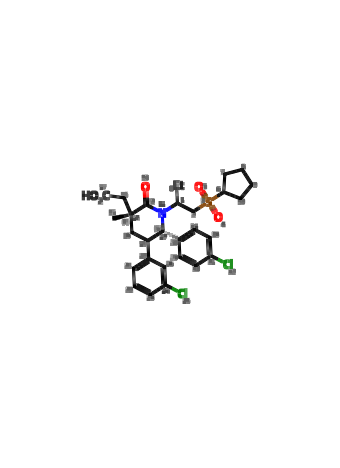 CCC(CS(=O)(=O)C1CCCC1)N1C(=O)[C@@](C)(CC(=O)O)CC(c2cccc(Cl)c2)[C@H]1c1ccc(Cl)cc1